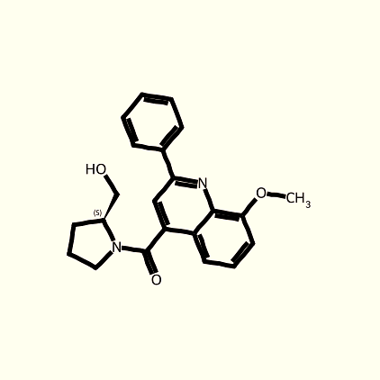 COc1cccc2c(C(=O)N3CCC[C@H]3CO)cc(-c3ccccc3)nc12